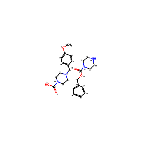 COc1ccc(CN2CCN(C(=O)O)CC2)cc1.O=C(OCc1ccccc1)N1CCNCC1